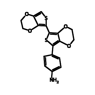 Nc1ccc(-c2sc(-c3scc4c3OCCO4)c3c2OCCO3)cc1